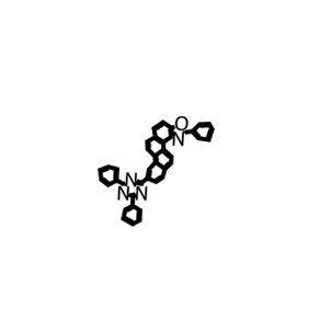 c1ccc(-c2nc(-c3ccccc3)nc(-c3ccc4ccc5c(ccc6ccc7oc(-c8ccccc8)nc7c65)c4c3)n2)cc1